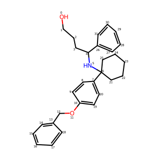 OCCCC(NC1(c2ccc(OCc3ccccc3)cc2)CCCCC1)c1ccccc1